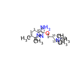 CC1CCc2c(N)c(OCCC[N+](C)(C)C)nn2C1C